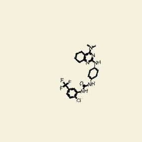 CN(C)c1nc(N[C@H]2CC[C@@H](NC(=O)Nc3cc(C(F)(F)F)ccc3Cl)CC2)nc2c1CCCC2